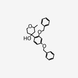 CC1CC(O)(c2ccc(OCc3ccccc3)cc2OCc2ccccc2)CCO1